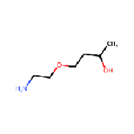 CC(O)CCOCCN